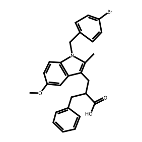 COc1ccc2c(c1)c(CC(Cc1ccccc1)C(=O)O)c(C)n2Cc1ccc(Br)cc1